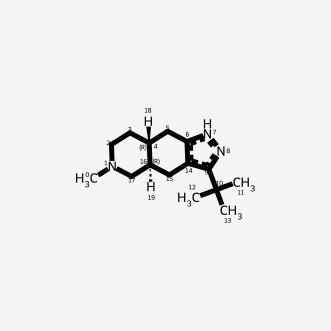 CN1CC[C@@H]2Cc3[nH]nc(C(C)(C)C)c3C[C@H]2C1